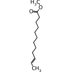 CC=CCCCCCCCCC(=O)OC